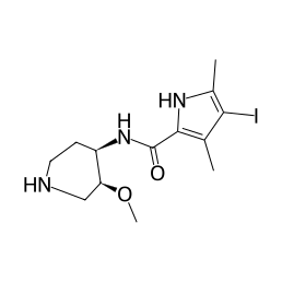 CO[C@H]1CNCC[C@H]1NC(=O)c1[nH]c(C)c(I)c1C